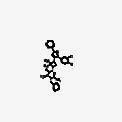 CN(C(=O)C[C@H]1C[C@H](c2cc(-c3cccnc3)nn2-c2ccc(Cl)c(Cl)c2)C1(C)C)[C@@H](Cc1ccccc1)C(N)=O